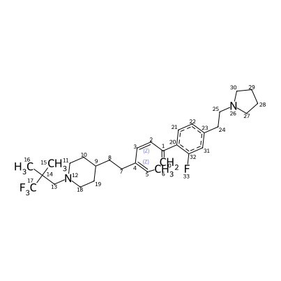 C=C(/C=C\C(=C/C)CCC1CCN(CC(C)(C)C(F)(F)F)CC1)c1ccc(CCN2CCCC2)cc1F